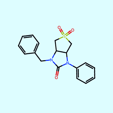 O=C1N(Cc2ccccc2)C2CS(=O)(=O)CC2N1c1ccccc1